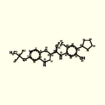 CC(F)(F)Oc1ccc2c(c1)NC[C@H](C(=O)Nc1cc(O)c(C3CCCC3)cc1C(F)(F)F)O2